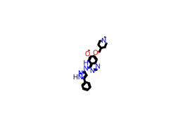 COc1cc2c(Nc3cc(-c4ccccc4)[nH]n3)ncnc2cc1OCC1CCN(C)CC1